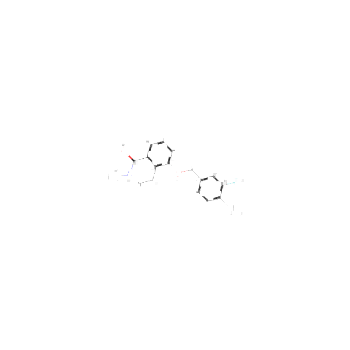 Cc1ccc(COc2cccc3c2CCN(C)C3=O)cc1F